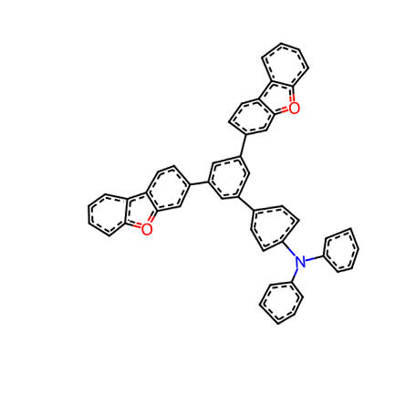 c1ccc(N(c2ccccc2)c2ccc(-c3cc(-c4ccc5c(c4)oc4ccccc45)cc(-c4ccc5c(c4)oc4ccccc45)c3)cc2)cc1